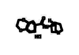 Cl.O=C(N[C@H]1CN2CCC1CC2)c1ccc2c(c1)OCCO2